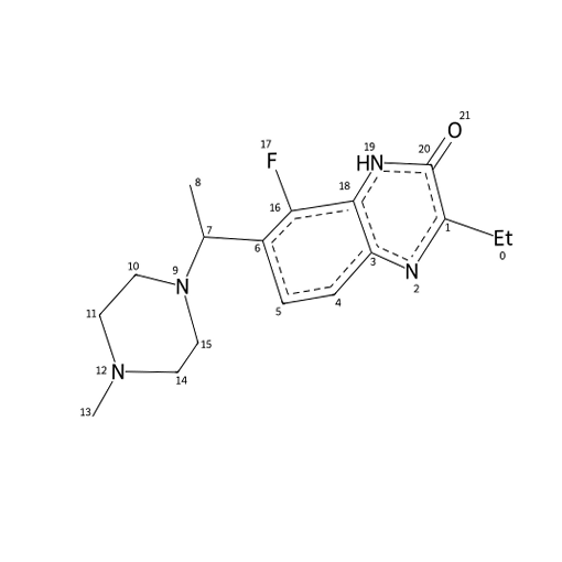 CCc1nc2ccc(C(C)N3CCN(C)CC3)c(F)c2[nH]c1=O